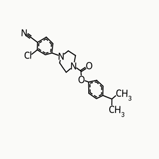 CC(C)c1ccc(OC(=O)N2CCN(c3ccc(C#N)c(Cl)c3)CC2)cc1